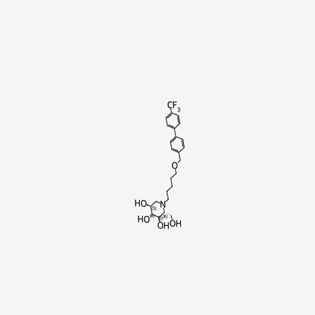 OC[C@@H]1[C@@H](O)[C@H](O)[C@@H](O)CN1CCCCCOCc1ccc(-c2ccc(C(F)(F)F)cc2)cc1